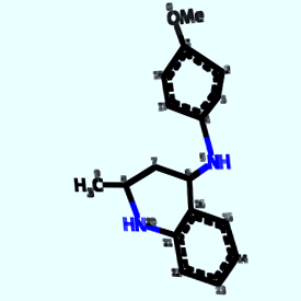 COc1ccc(NC2CC(C)Nc3ccccc32)cc1